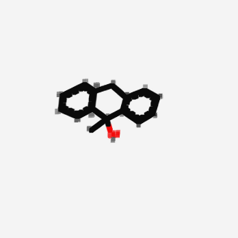 CC1(O)c2ccccc2Cc2ccccc21